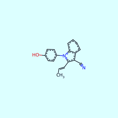 CC=Cc1c(C#N)c2ccccc2n1-c1ccc(O)cc1